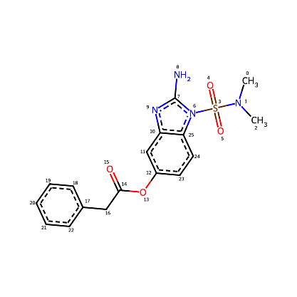 CN(C)S(=O)(=O)n1c(N)nc2cc(OC(=O)Cc3ccccc3)ccc21